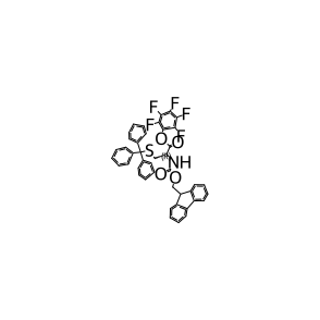 O=C(N[C@@H](CSC(c1ccccc1)(c1ccccc1)c1ccccc1)C(=O)Oc1c(F)c(F)c(F)c(F)c1F)OCC1c2ccccc2-c2ccccc21